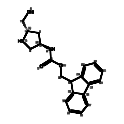 O=C(N[C@H]1CN[C@H](CO)C1)OCC1c2ccccc2-c2ccccc21